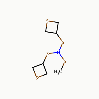 CSN(SC1CSC1)SC1CSC1